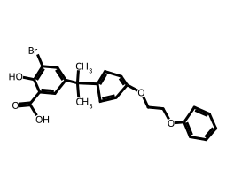 CC(C)(c1ccc(OCCOc2ccccc2)cc1)c1cc(Br)c(O)c(C(=O)O)c1